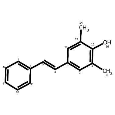 Cc1cc(C=Cc2ccccc2)cc(C)c1O